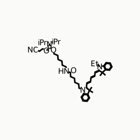 CCN1/C(=C/C=C/C=C/C2=[N+](CCCCCC(=O)NCCCCCCOP(OCCC#N)N(C(C)C)C(C)C)c3ccccc3C2(C)C)C(C)(C)c2ccccc21